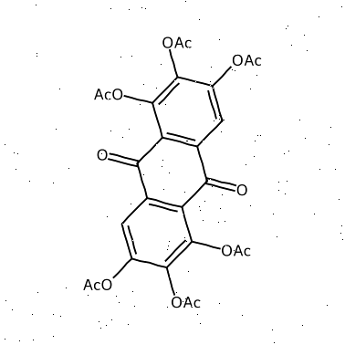 CC(=O)Oc1cc2c(c(OC(C)=O)c1OC(C)=O)C(=O)c1cc(OC(C)=O)c(OC(C)=O)c(OC(C)=O)c1C2=O